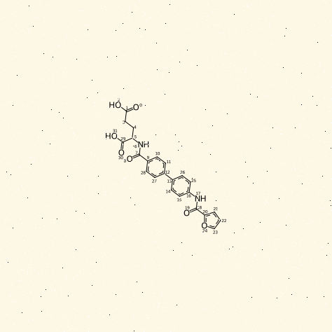 O=C(O)CCC(NC(=O)c1ccc(-c2ccc(NC(=O)c3ccco3)cc2)cc1)C(=O)O